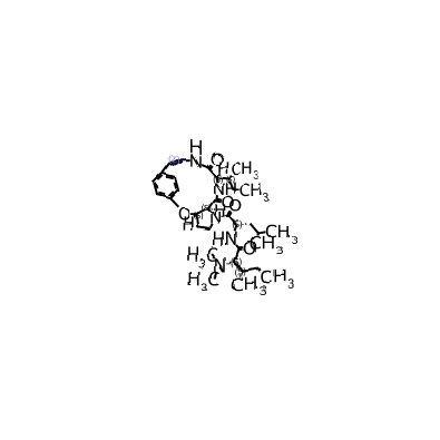 CC[C@H](C)[C@@H]1NC(=O)[C@@H]2[C@H](CCN2C(=O)[C@H](CC(C)C)NC(=O)[C@H]([C@@H](C)CC)N(C)C)Oc2ccc(cc2)/C=C\NC1=O